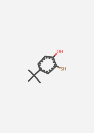 CC(C)(C)c1ccc(O)c(S)c1